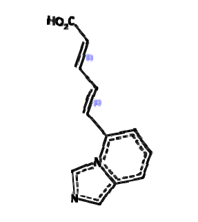 O=C(O)/C=C/C=C/c1cccc2cncn12